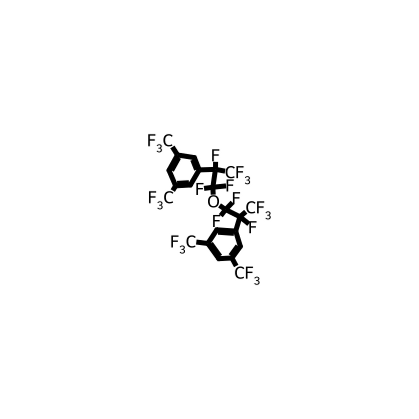 FC(F)(F)c1cc(C(F)(F)F)cc(C(F)(C(F)(F)F)C(F)(F)OC(F)(F)C(F)(c2cc(C(F)(F)F)cc(C(F)(F)F)c2)C(F)(F)F)c1